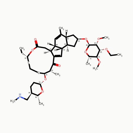 CCO[C@@H]1[C@@H](OC)[C@H](C)O[C@@H](O[C@H]2C[C@H]3[C@@H]4C=C5C(=O)[C@H](C)[C@@H](O[C@H]6CC[C@H](CNC)[C@@H](C)O6)CCC[C@H](CC)OC(=O)C[C@H]5[C@@H]4C=C(C)[C@@H]3C2)[C@@H]1OC